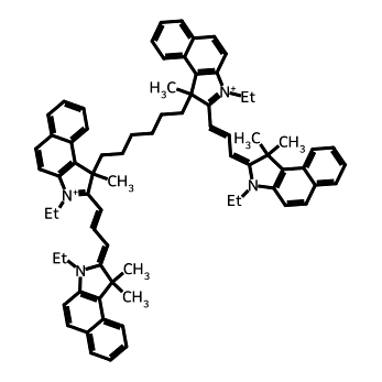 CCN1C(=CC=CC2=[N+](CC)c3ccc4ccccc4c3C2(C)CCCCCCC2(C)C(C=CC=C3N(CC)c4ccc5ccccc5c4C3(C)C)=[N+](CC)c3ccc4ccccc4c32)C(C)(C)c2c1ccc1ccccc21